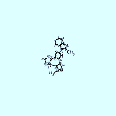 Cc1nn2ccccc2c1-c1nc(-c2cnn(C)c2C)c(C2=NCC=N2)s1